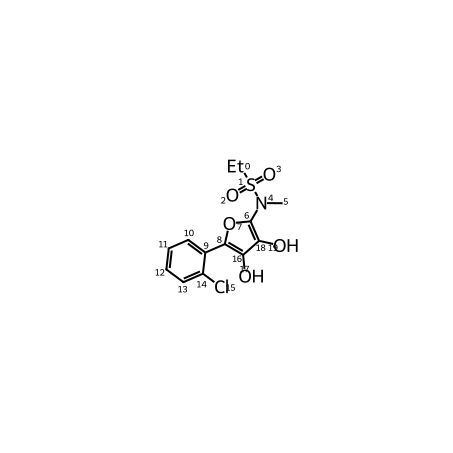 CCS(=O)(=O)N(C)c1oc(-c2ccccc2Cl)c(O)c1O